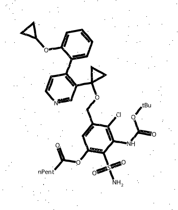 CCCCCC(=O)Oc1cc(COC2(c3cnccc3-c3ccccc3OC3CC3)CC2)c(Cl)c(NC(=O)OC(C)(C)C)c1S(N)(=O)=O